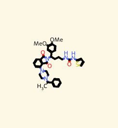 COc1ccc(C(CCCNC(=O)Nc2cccs2)N2C(=O)c3cccc(N4CCN([C@H](C)c5ccccc5)CC4)c3C2=O)cc1OC